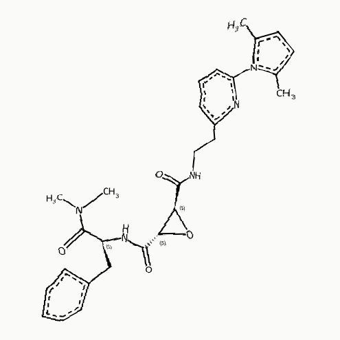 Cc1ccc(C)n1-c1cccc(CCNC(=O)[C@H]2O[C@@H]2C(=O)N[C@@H](Cc2ccccc2)C(=O)N(C)C)n1